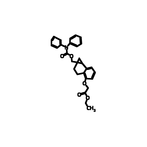 CCOC(=O)COc1cccc2c1CCC1(COC(=O)N(c3ccccc3)c3ccccc3)CC21